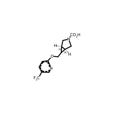 O=C(O)N1C[C@@H]2C(COc3ccc(C(F)(F)F)cn3)[C@@H]2C1